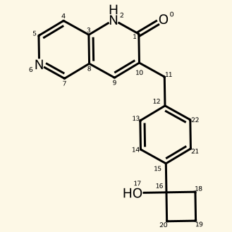 O=c1[nH]c2ccncc2cc1Cc1ccc(C2(O)CCC2)cc1